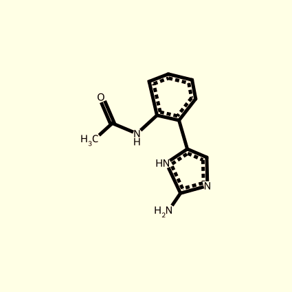 CC(=O)Nc1ccccc1-c1cnc(N)[nH]1